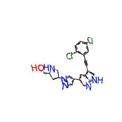 OCC1CC(n2cc(-c3cnc4[nH]cc(C#Cc5cc(Cl)ccc5Cl)c4c3)cn2)CN1